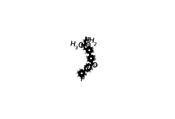 CN(Cc1cccc(-c2ccc(C(=O)N3CCN(c4cccc(F)c4)CC3)cc2)c1)C(=O)CN